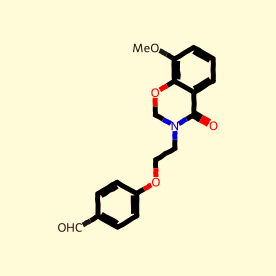 COc1cccc2c1OCN(CCOc1ccc(C=O)cc1)C2=O